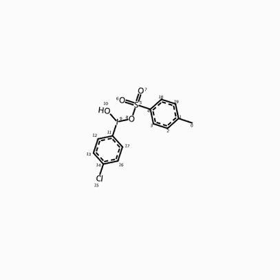 Cc1ccc(S(=O)(=O)OI(O)c2ccc(Cl)cc2)cc1